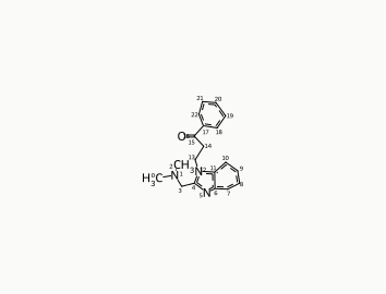 CN(C)Cc1nc2ccccc2n1CCC(=O)c1ccccc1